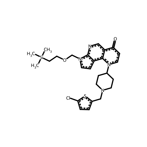 C[Si](C)(C)CCOCn1ccc2c1ncc1c(=O)ccn(C3CCN(Cc4ccc(Cl)s4)CC3)c12